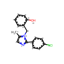 Cc1cnc(-c2ccc(Cl)cc2)n1Cc1ccccc1O